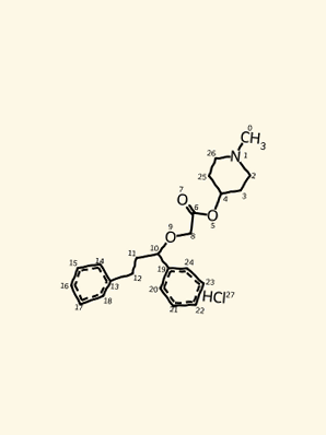 CN1CCC(OC(=O)COC(CCc2ccccc2)c2ccccc2)CC1.Cl